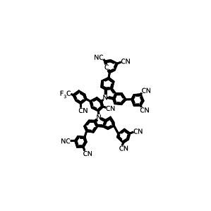 N#Cc1cc(C#N)cc(-c2ccc3c(c2)c2cc(-c4cc(C#N)cc(C#N)c4)ccc2n3-c2cc(-c3ccc(C(F)(F)F)cc3C#N)cc(-n3c4ccc(-c5cc(C#N)cc(C#N)c5)cc4c4cc(-c5cc(C#N)cc(C#N)c5)ccc43)c2C#N)c1